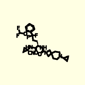 N#CC1(NC(=O)[C@H](CCC(F)(F)c2ccccc2OC(F)F)NC(=O)N2CC3(CCN(C4CC4)CC3)C2)CC1